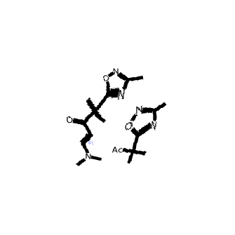 CC(=O)C(C)(C)c1nc(C)no1.Cc1noc(C(C)(C)C(=O)/C=C/N(C)C)n1